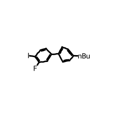 CCCCc1ccc(-c2ccc(I)c(F)c2)cc1